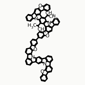 CC(C)c1c2c3c4c(cc5c6ccccc6n(c2c(C(C)C)c2c6c7c(cc8c9ccccc9n(c12)c86)oc1ccccc17)c53)oc1cc(-c2ccc3c(c2)oc2c3ccc3c5cccc6c7cc8c(cc7n(c65)c32)c2cccc3c5ccc6c7ccccc7oc6c5n8c23)ccc14